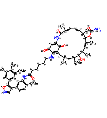 COc1ccc(-c2cnoc2-c2cc(OC)c(OC)c(OC)c2)cc1NC(=O)CCCCCNC1=C2CC(C)CC(OC)C(O)C(C)C=C(C)C(OC(N)=O)C(OC)C=CC=C(C)C(=O)NC(=CC1=O)C2=O